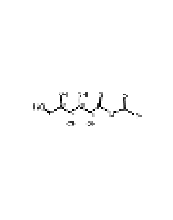 CC(C)C(=O)OC(=O)[C@H](O)[C@@H](O)[C@H](O)[C@H](O)CO